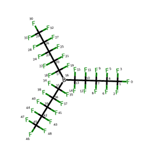 FC(F)(F)C(F)(F)C(F)(F)C(F)(F)C(F)(F)B(C(F)(F)C(F)(F)C(F)(F)C(F)(F)C(F)(F)F)C(F)(F)C(F)(F)C(F)(F)C(F)(F)C(F)(F)F